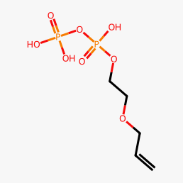 C=CCOCCOP(=O)(O)OP(=O)(O)O